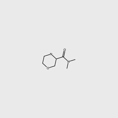 CN(C)C(=O)C1COCC[N]1